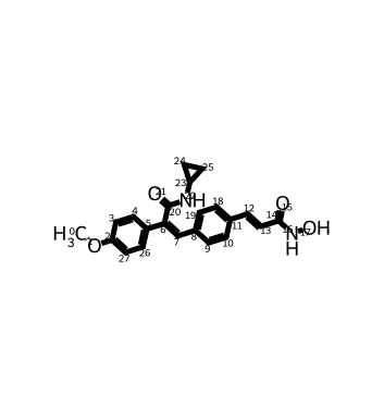 COc1ccc(C(=Cc2ccc(/C=C/C(=O)NO)cc2)C(=O)NC2CC2)cc1